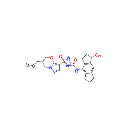 COCC1COc2c(S(N)(=O)=NC(=O)Nc3c4c(cc5c3CCC5O)CCC4)cnn2C1